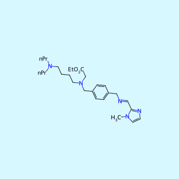 CCCN(CCC)CCCCN(CC(=O)OCC)Cc1ccc(CN=Cc2nccn2C)cc1